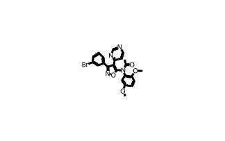 COc1ccc(OC)c(N(C(C)=O)c2onc(-c3cccc(Br)c3)c2-c2ccncn2)c1